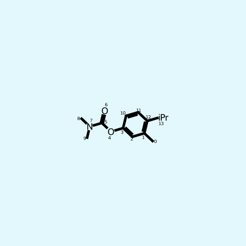 Cc1cc(OC(=O)N(C)C)ccc1C(C)C